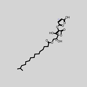 CC(C)CCCCCCCCCCCCC(=O)OC[C@H](O)[C@H]1OC(=O)C(OC(=O)/C=C\C(=O)O)=C1O